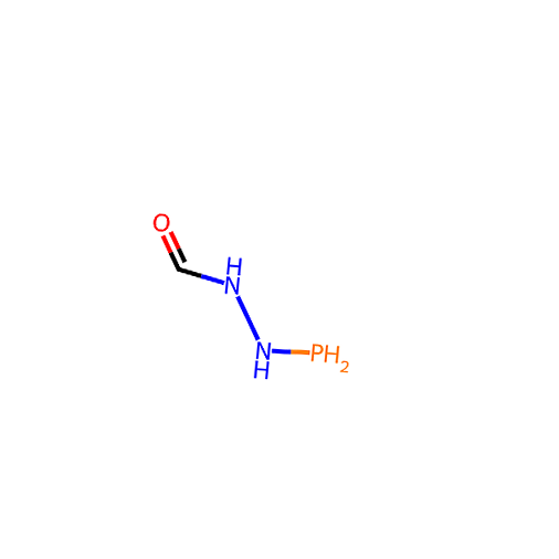 O=CNNP